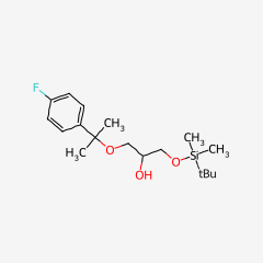 CC(C)(OCC(O)CO[Si](C)(C)C(C)(C)C)c1ccc(F)cc1